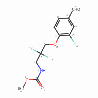 CC(C)(C)OC(=O)NCC(F)(F)COc1ccc(C=O)cc1F